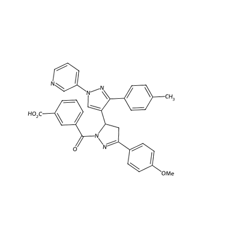 COc1ccc(C2=NN(C(=O)c3cccc(C(=O)O)c3)C(c3cn(-c4cccnc4)nc3-c3ccc(C)cc3)C2)cc1